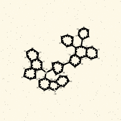 c1ccc(-c2c(-c3ccccc3)c3cc(-c4ccc(N(c5cc6ccccc6c6ccccc56)c5cccc6sc7ccccc7c56)cc4)ccc3c3ccccc23)cc1